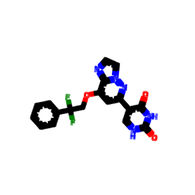 O=c1[nH]cc(-c2cc(OCC(F)(F)c3ccccc3)c3nccn3n2)c(=O)[nH]1